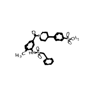 Cc1ccc(C(=O)N2CCC(c3ccc(S(C)(=O)=O)cc3)CC2)cc1NS(=O)(=O)Cc1ccccc1